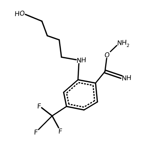 N=C(ON)c1ccc(C(F)(F)F)cc1NCCCCO